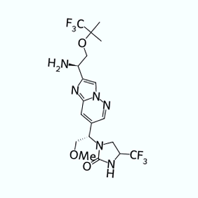 COC[C@H](c1cnn2cc([C@@H](N)COC(C)(C)C(F)(F)F)nc2c1)N1CC(C(F)(F)F)NC1=O